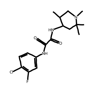 CC1CN(C)C(C)(C)CC1NC(=O)C(=O)Nc1ccc(Cl)c(F)c1